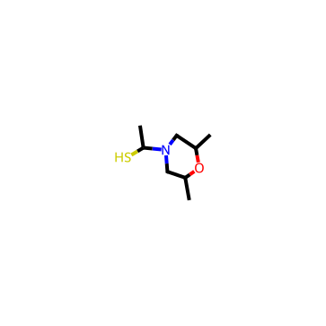 CC1CN(C(C)S)CC(C)O1